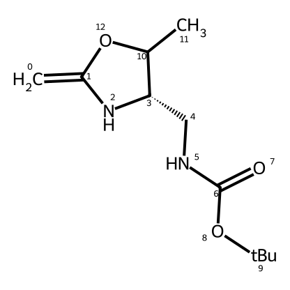 C=C1N[C@@H](CNC(=O)OC(C)(C)C)C(C)O1